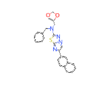 C1=C(CN(Cc2ccccc2)c2nn3cc(-c4ccc5ccccc5c4)nc3s2)OCO1